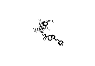 COc1cc(C)c(S(=O)(=O)N(C)CCOCC(=O)N2CCn3c(CCc4ccncc4)ccc3C2)c(C)c1